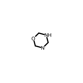 C1[N]COCN1